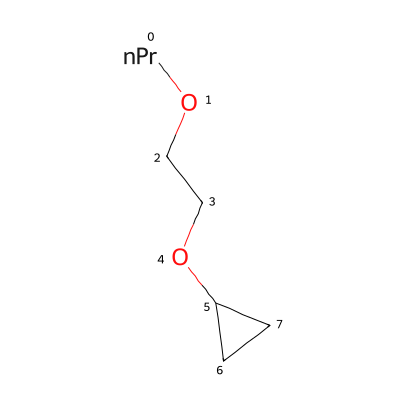 CCCOCCOC1CC1